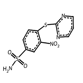 NS(=O)(=O)c1ccc(Sc2ncccn2)c([N+](=O)[O-])c1